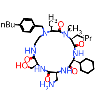 CCCCc1ccc(CN2CCNC(=O)[C@H](CO)NC(=O)[C@H](CN)NC(=O)[C@H](C3CCCCC3)NC(=O)[C@H](CC(C)C)N(C)C(=O)[C@@H]2C)cc1